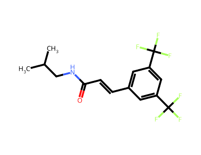 CC(C)CNC(=O)C=Cc1cc(C(F)(F)F)cc(C(F)(F)F)c1